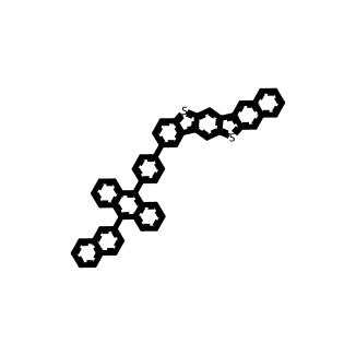 c1ccc2cc(-c3c4ccccc4c(-c4ccc(-c5ccc6sc7cc8c(cc7c6c5)sc5cc6ccccc6cc58)cc4)c4ccccc34)ccc2c1